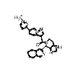 Cn1ccc(-c2ccc3c(C(=O)N4CCc5[nH]cnc5[C@H]4c4cc5ccccc5cn4)cnn3c2)n1